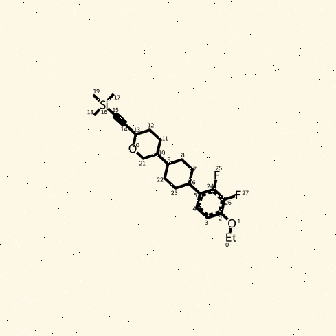 CCOc1ccc(C2CCC(C3CCC(C#C[Si](C)(C)C)OC3)CC2)c(F)c1F